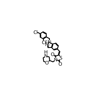 O=C1SC(=Cc2ccc3c(cnn3Cc3ccc(Cl)cc3C(F)(F)F)c2)C(=O)N1CC1CNCCO1